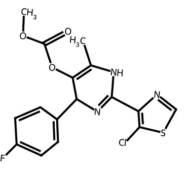 COC(=O)OC1=C(C)NC(c2ncsc2Cl)=NC1c1ccc(F)cc1